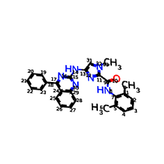 Cc1cccc(C)c1NC(=O)c1nc(Nc2nc(-c3ccccc3)c3ccccc3n2)cn1C